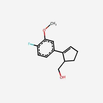 COc1cc(C2=CCCC2CO)ccc1F